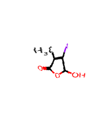 CC1C(=O)OC(O)C1I